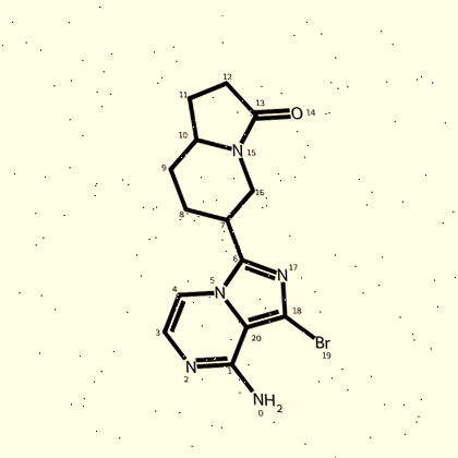 Nc1nccn2c(C3CCC4CCC(=O)N4C3)nc(Br)c12